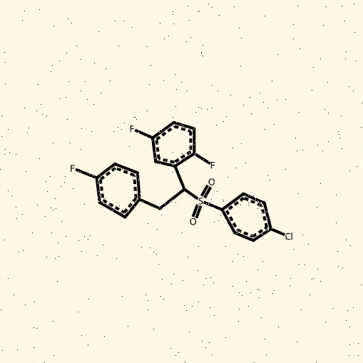 O=S(=O)(c1ccc(Cl)cc1)C(Cc1ccc(F)cc1)c1cc(F)ccc1F